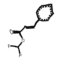 O=C(C=Cc1ccccc1)OC(F)F